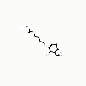 COC(=O)NCCCCSC1=CC(=O)c2[nH]ncc2C1=O